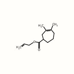 C=CCOC(=O)C1CCCC(C)=C(C)C1